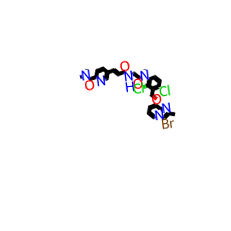 Cc1nc2c(OCc3c(Cl)ccc(N(C)C(=O)CNC(=O)C=Cc4ccc(C(=O)N(C)C)nc4)c3Cl)cccn2c1Br